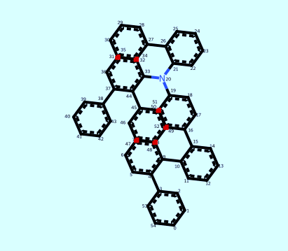 c1ccc(-c2ccccc2-c2ccccc2-c2ccc(N(c3ccccc3-c3ccccc3)c3cccc(-c4ccccc4)c3-c3ccccc3)cc2)cc1